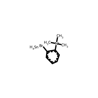 C[N+](C)(C)c1ccccc1Br.[SnH4]